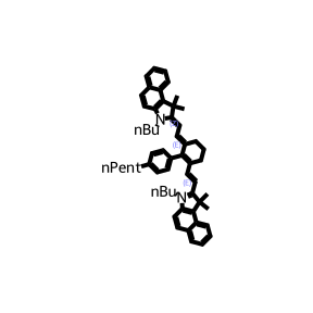 CCCCCc1ccc(C2=C(/C=C/C3=[N+](CCCC)c4ccc5ccccc5c4C3(C)C)CCC/C2=C\C=C2/N(CCCC)c3ccc4ccccc4c3C2(C)C)cc1